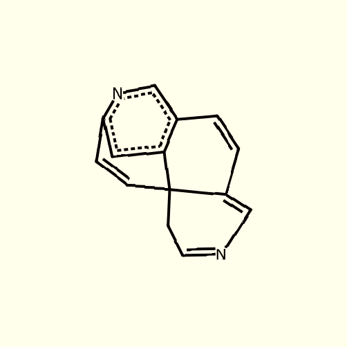 C1=Cc2cnc3cc2C2(C=C3)CC=NC=C12